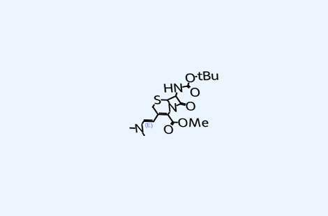 COC(=O)C1=C(/C=C/N(C)C)CSC2C(NC(=O)OC(C)(C)C)C(=O)N12